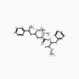 CC(ON)C(Cc1ccccc1)OC(=O)N(CC(O)CC(N)c1ccccc1)[S+]([O-])C(C)(C)C